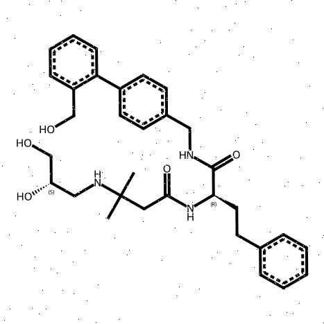 CC(C)(CC(=O)N[C@H](CCc1ccccc1)C(=O)NCc1ccc(-c2ccccc2CO)cc1)NC[C@H](O)CO